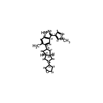 Cc1cc2[nH]nc(-c3cnn(C)c3)c2cc1C1C[C@@H]2CN(C3CCOC3)C[C@@H]2C1